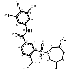 CC1CCC(O)CN(S(=O)(=O)c2cc(C(=O)Nc3cc(F)c(F)c(F)c3)ccc2CF)C1